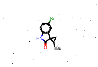 CCCCC1CC12C(=O)Nc1ccc(Br)cc12